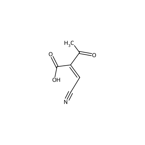 CC(=O)C(=CC#N)C(=O)O